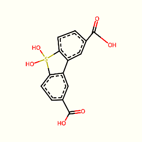 O=C(O)c1ccc2c(c1)-c1cc(C(=O)O)ccc1S2(O)O